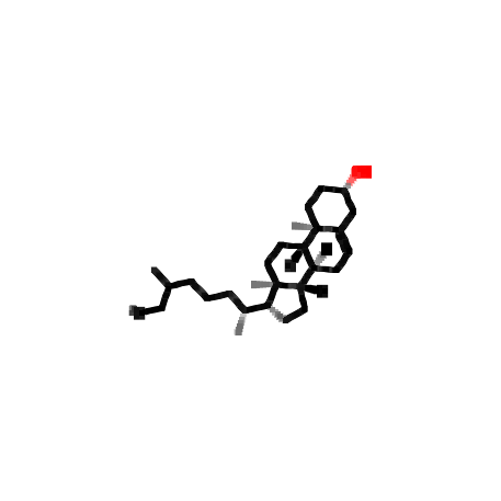 [2H]CC(C)CCC[C@@H](C)[C@H]1CC[C@H]2[C@@H]3CC=C4C[C@@H](O)CC[C@]4(C)[C@H]3CC[C@]12C